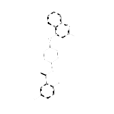 O=C(NC1CCC(Nc2cc(C(F)(F)F)nc3ccccc23)CC1)c1cc(Cl)ccc1F